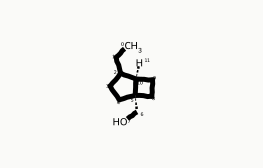 CCC1CC[C@]2(CO)CC[C@H]12